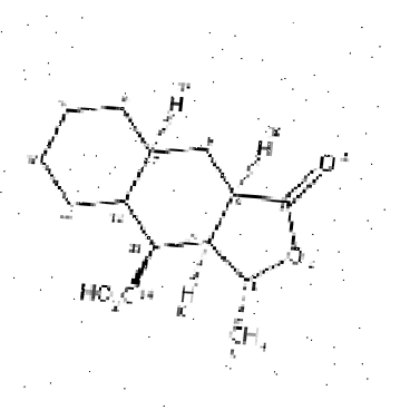 C[C@H]1OC(=O)[C@@H]2C[C@@H]3CCCCC3[C@H](C(=O)O)[C@H]12